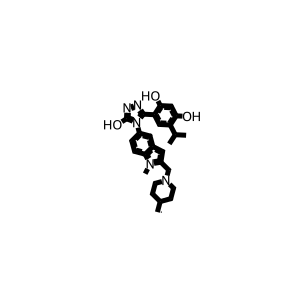 [CH2]C1CCN(Cc2cc3cc(-n4c(O)nnc4-c4cc(C(C)C)c(O)cc4O)ccc3n2C)CC1